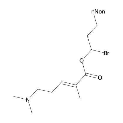 CCCCCCCCCCCC(Br)OC(=O)C(C)=CCCN(C)C